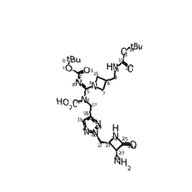 CC(C)(C)OC(=O)/N=C(\N1CC(CNC(=O)OC(C)(C)C)C1)N(Cc1cnn(C[C@H]2NC(=O)[C@H]2N)n1)C(=O)O